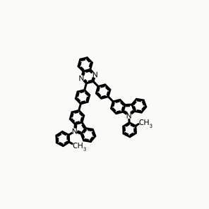 Cc1ccccc1-n1c2ccccc2c2cc(-c3ccc(-c4nc5ccccc5nc4-c4ccc(-c5ccc6c(c5)c5ccccc5n6-c5ccccc5C)cc4)cc3)ccc21